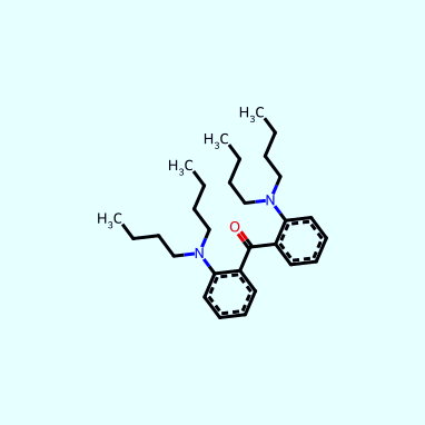 CCCCN(CCCC)c1ccccc1C(=O)c1ccccc1N(CCCC)CCCC